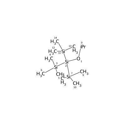 CC(C)O[Si]([Si](C)(C)C)([Si](C)(C)C)[Si](C)(C)C